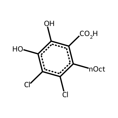 CCCCCCCCc1c(Cl)c(Cl)c(O)c(O)c1C(=O)O